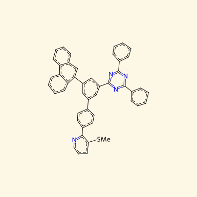 CSc1cccnc1-c1ccc(-c2cc(-c3nc(-c4ccccc4)nc(-c4ccccc4)n3)cc(-c3cc4ccccc4c4ccccc34)c2)cc1